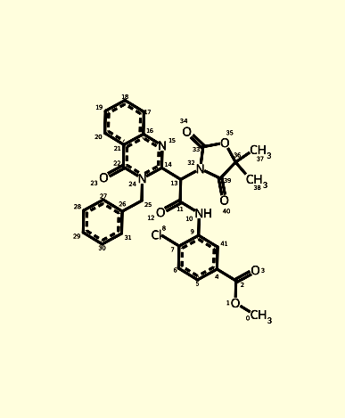 COC(=O)c1ccc(Cl)c(NC(=O)C(c2nc3ccccc3c(=O)n2Cc2ccccc2)N2C(=O)OC(C)(C)C2=O)c1